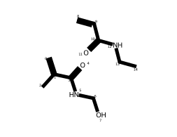 C=C(C)C(=O)NCO.C=CC(=O)NCC